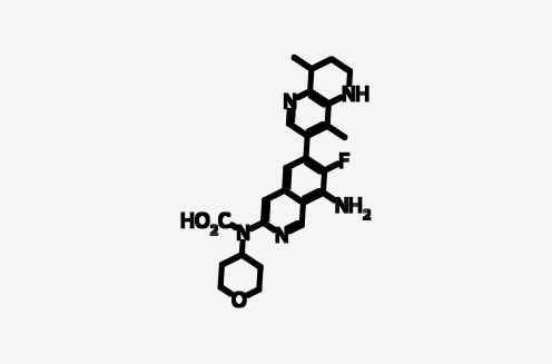 Cc1c(-c2cc3cc(N(C(=O)O)C4CCOCC4)ncc3c(N)c2F)cnc2c1NCCC2C